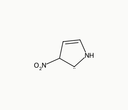 O=[N+]([O-])C1[C]NC=C1